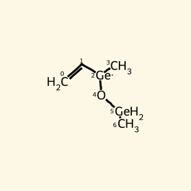 C=[CH][Ge]([CH3])[O][GeH2][CH3]